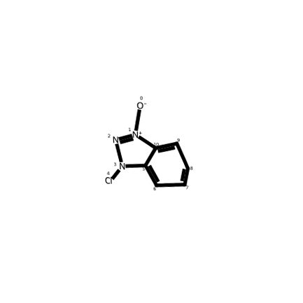 [O-][n+]1nn(Cl)c2ccccc21